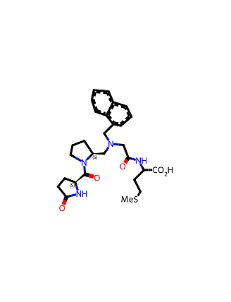 CSCCC(NC(=O)CN(Cc1cccc2ccccc12)C[C@@H]1CCCN1C(=O)[C@@H]1CCC(=O)N1)C(=O)O